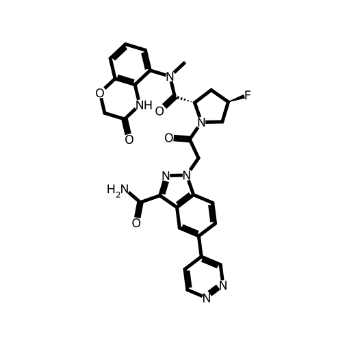 CN(C(=O)[C@@H]1C[C@@H](F)CN1C(=O)Cn1nc(C(N)=O)c2cc(-c3ccnnc3)ccc21)c1cccc2c1NC(=O)CO2